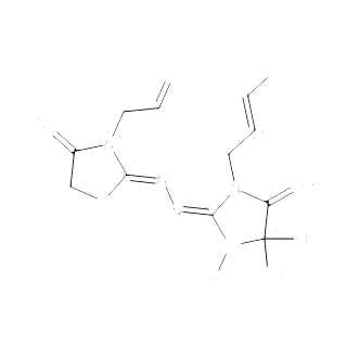 C=CCN1C(=O)CSC1=NN=C1N(CC=CC)C(=O)C(C)(C)[S+]1[O-]